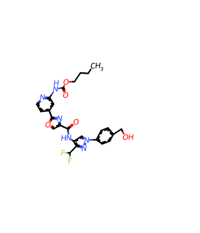 CCCCOC(=O)Nc1cc(-c2nc(C(=O)Nc3cn(-c4ccc(CO)cc4)nc3C(F)F)co2)ccn1